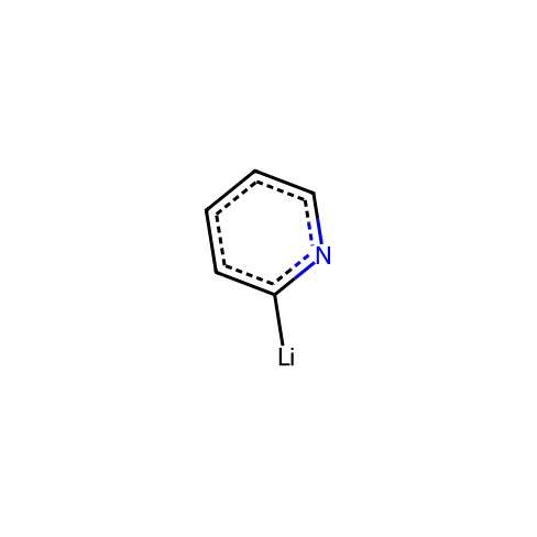 [Li][c]1ccccn1